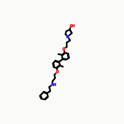 Cc1c(OCCCNCCc2ccccc2)cccc1-c1cccc(OCCCN2CCC(O)C2)c1C